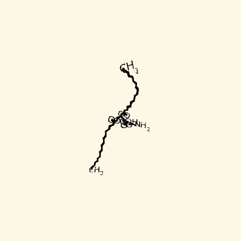 CCCCCCCC/C=C\CCCCCCCC(=O)OC(COC(=O)CCCCCCCCCCCCCCCCC)COP(=O)(O)OCCN